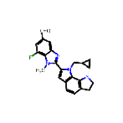 Cn1c(-c2cc3ccc4c(c3n2CC2CC2)NCC4)nc2cc(C=O)cc(F)c21